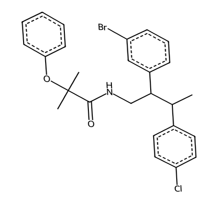 CC(c1ccc(Cl)cc1)C(CNC(=O)C(C)(C)Oc1ccccc1)c1cccc(Br)c1